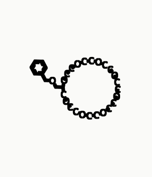 c1ccc(COCC2COCCOCCOCCOCCOCCOCCOCCO2)cc1